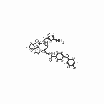 Nc1csc(CNC(=O)[C@H]2N(C(=O)CNC(=O)c3ccc(Oc4ccc(F)cc4)cc3)CCC23OCCO3)c1